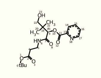 CC(C)(C)OC(=O)CCNC(=O)[C@H](OC(=O)c1ccccn1)C(C)(C)CO